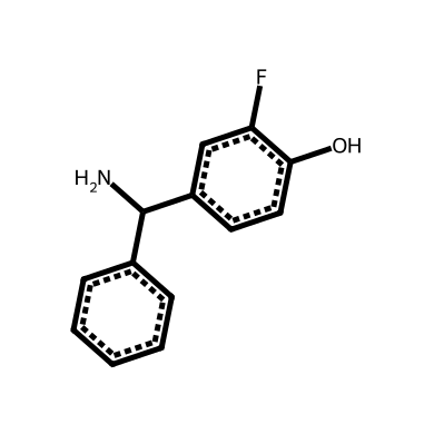 NC(c1ccccc1)c1ccc(O)c(F)c1